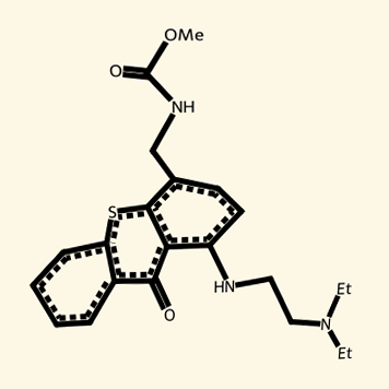 CCN(CC)CCNc1ccc(CNC(=O)OC)c2sc3ccccc3c(=O)c12